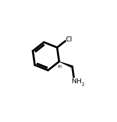 NC[C@H]1C=CC=CC1Cl